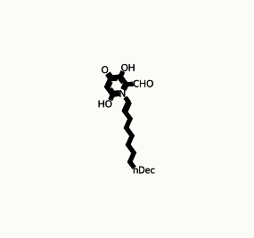 CCCCCCCCCCCCCCCCC=Cn1c(O)cc(=O)c(O)c1C=O